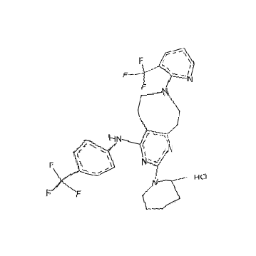 CC1CCCCN1c1nc2c(c(Nc3ccc(C(F)(F)F)cc3)n1)CCN(c1ncccc1C(F)(F)F)CC2.Cl